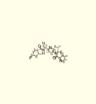 CC(NC(=O)c1ccc(F)cc1)c1ccc2c(n1)CCCN2C(=O)c1ncccc1F